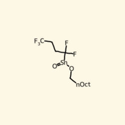 CCCCCCCCC[O][Sn](=[O])[C](F)(F)CCC(F)(F)F